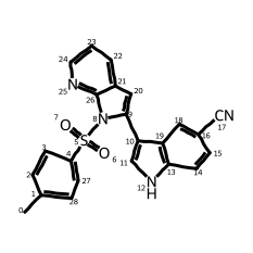 Cc1ccc(S(=O)(=O)n2c(-c3c[nH]c4ccc(C#N)cc34)cc3cccnc32)cc1